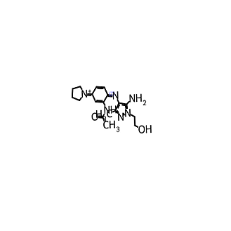 CC(=O)NC1=CC(=[N+]2CCCC2)C=C/C1=N/c1c(C)nn(CCO)c1N